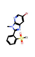 CCS(=O)(=O)c1ccccc1-c1nc2cc(Br)cnc2n1C